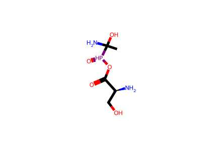 CC(N)(O)[PH](=O)OC(=O)[C@@H](N)CO